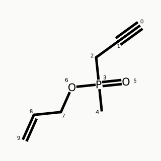 C#CCP(C)(=O)OCC=C